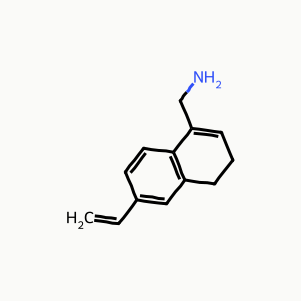 C=Cc1ccc2c(c1)CCC=C2CN